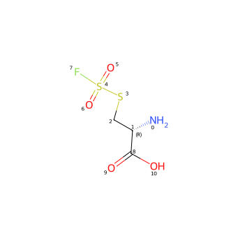 N[C@@H](CSS(=O)(=O)F)C(=O)O